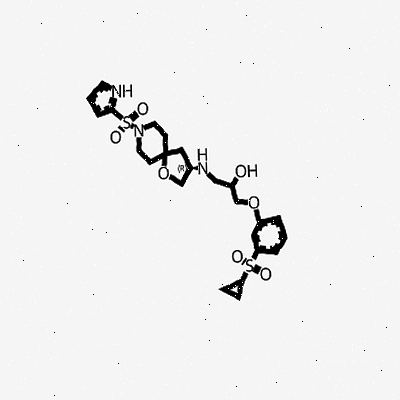 O=S(=O)(c1cccc(OCC(O)CN[C@H]2COC3(CCN(S(=O)(=O)c4ccc[nH]4)CC3)C2)c1)C1CC1